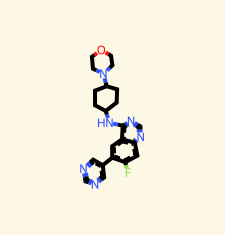 Fc1cc2ncnc(NC3CCC(N4CCOCC4)CC3)c2cc1-c1cncnc1